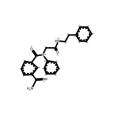 N=C(N)c1cccc(C(=O)N(CC(=O)NCCc2ccccc2)c2ccccc2)c1